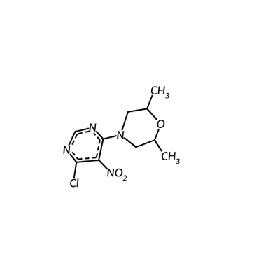 CC1CN(c2ncnc(Cl)c2[N+](=O)[O-])CC(C)O1